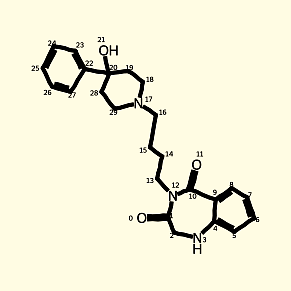 O=C1CNc2ccccc2C(=O)N1CCCCN1CCC(O)(c2ccccc2)CC1